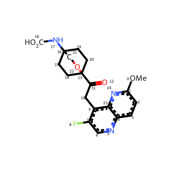 COc1ccc2ncc(F)c(CC(=O)C34CCC(NC(=O)O)(CC3)CO4)c2n1